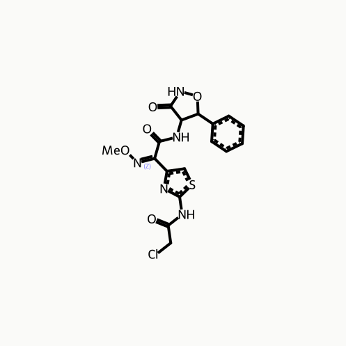 CO/N=C(\C(=O)NC1C(=O)NOC1c1ccccc1)c1csc(NC(=O)CCl)n1